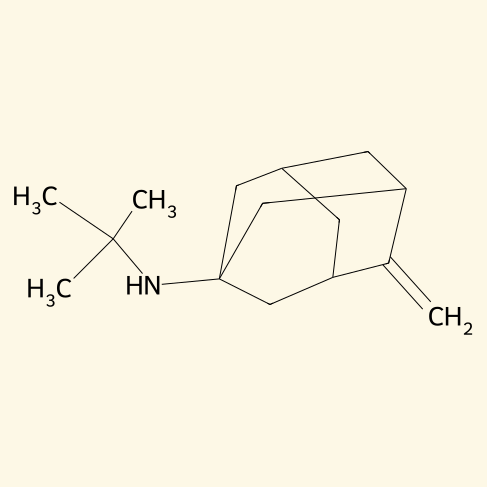 C=C1C2CC3CC1CC(NC(C)(C)C)(C3)C2